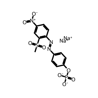 CS(=O)(=O)c1cc([N+](=O)[O-])ccc1N=Nc1ccc(OP(=O)([O-])[O-])cc1.[Na+].[Na+]